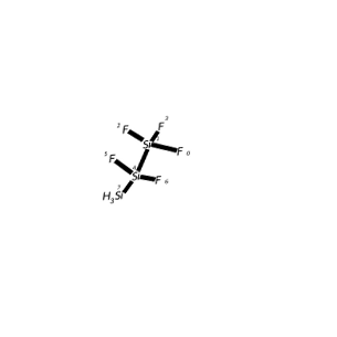 F[Si](F)(F)[Si](F)(F)[SiH3]